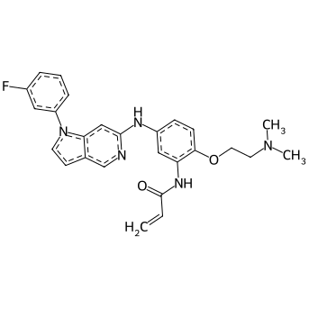 C=CC(=O)Nc1cc(Nc2cc3c(ccn3-c3cccc(F)c3)cn2)ccc1OCCN(C)C